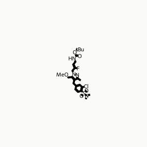 COCc1c(Cc2ccc(S(=O)(=O)N(C)C)c(Cl)c2)c(C)nn1C/C(F)=C/CNC(=O)OC(C)(C)C